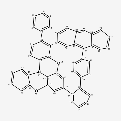 c1ccc(-c2ccc3c(c2)Oc2cc(-c4ccccc4-c4ccc(-c5c6ccccc6cc6ccccc56)cc4)cc4c2N3c2ccccc2O4)cc1